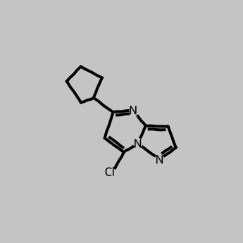 Clc1cc(C2CCCC2)nc2ccnn12